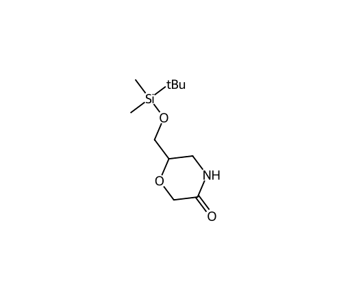 CC(C)(C)[Si](C)(C)OCC1CNC(=O)CO1